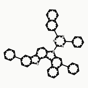 c1ccc(-c2ccc3oc4c(ccc5c4c4c6ccccc6c(-c6ccccc6)cc4n5-c4nc(-c5ccccc5)nc(-c5ccc6ccccc6c5)n4)c3c2)cc1